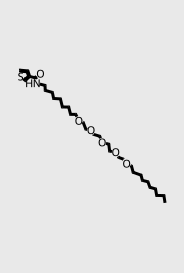 CCCCCCCCCCOCCOCCOCCOCCOCCCCCCCCCNC(=O)c1ccsc1